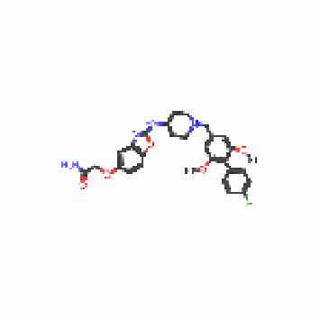 CCOc1cc(CN2CCC(Nc3nc4cc(OCC(N)=O)ccc4o3)CC2)cc(OCC)c1-c1ccc(F)cc1